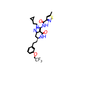 Cc1cc(C(=O)Nc2c3c(nn2CCC2CC2)C[C@H](CCc2cccc(OCC(F)(F)F)c2)NC3=O)ns1